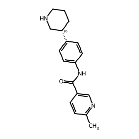 Cc1ccc(C(=O)Nc2ccc([C@H]3CCCNC3)cc2)cn1